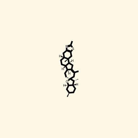 CC1=C2C[C@H]3[C@@H](CC[C@@H]4Cc5nc(C)sc5C[C@@]43C)[C@@H]2CC[C@@]2(C1)O[C@@H]1C[C@H](C)CC[C@H]1[C@H]2C